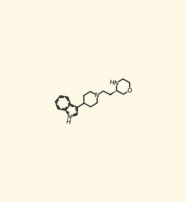 c1ccc2c(C3CCN(CC[C@@H]4COCCN4)CC3)c[nH]c2c1